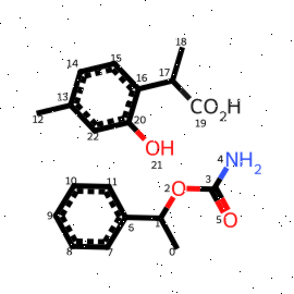 CC(OC(N)=O)c1ccccc1.Cc1ccc(C(C)C(=O)O)c(O)c1